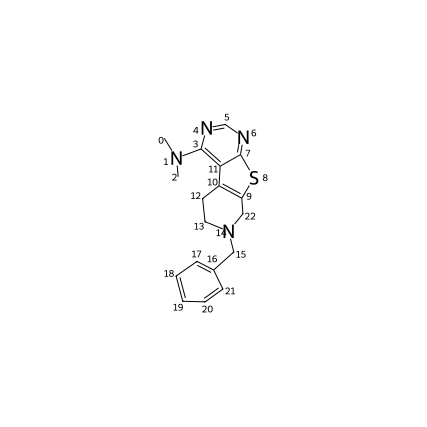 CN(C)c1ncnc2sc3c(c12)CCN(Cc1ccccc1)C3